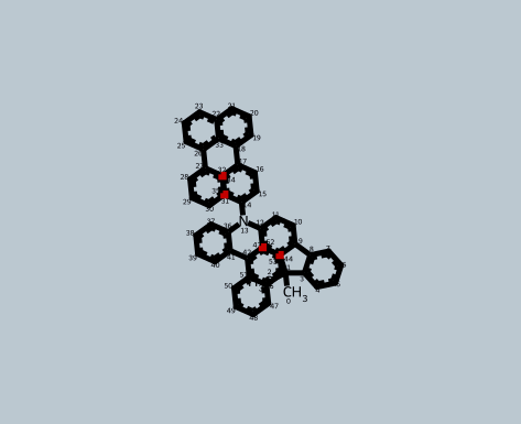 CC1(C)c2ccccc2-c2ccc(N(c3ccc(-c4cccc5cccc(-c6ccccc6)c45)cc3)c3ccccc3-c3cccc4ccccc34)cc21